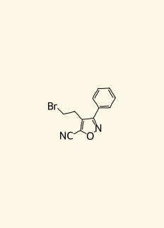 N#Cc1onc(-c2ccccc2)c1CCBr